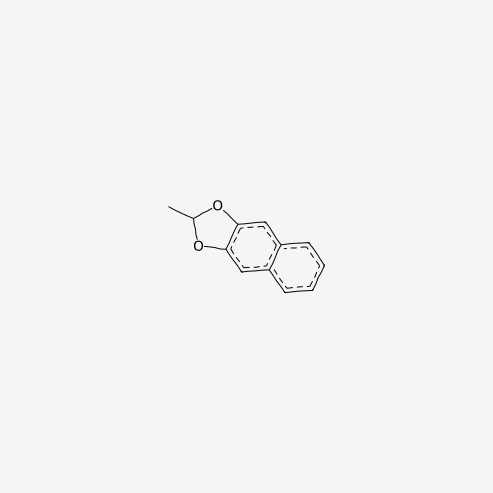 CC1Oc2cc3ccccc3cc2O1